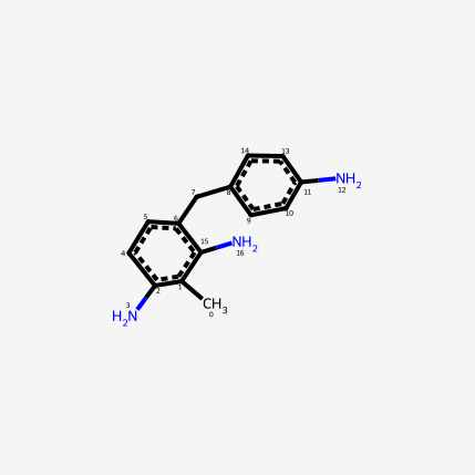 Cc1c(N)ccc(Cc2ccc(N)cc2)c1N